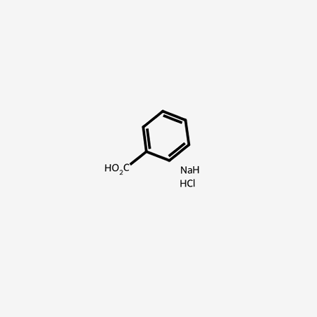 Cl.O=C(O)c1ccccc1.[NaH]